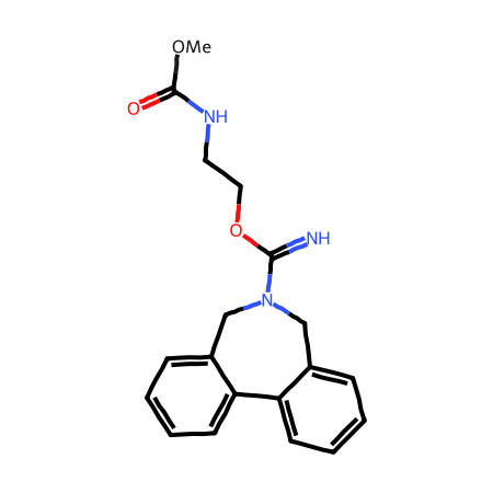 COC(=O)NCCOC(=N)N1Cc2ccccc2-c2ccccc2C1